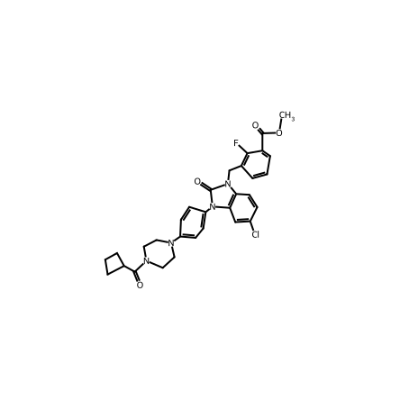 COC(=O)c1cccc(Cn2c(=O)n(-c3ccc(N4CCN(C(=O)C5CCC5)CC4)cc3)c3cc(Cl)ccc32)c1F